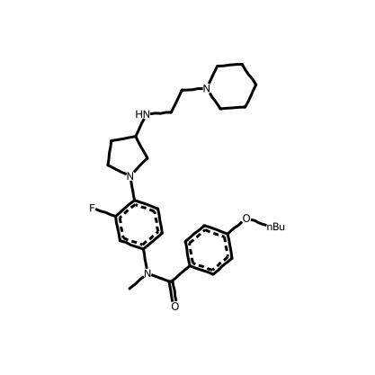 CCCCOc1ccc(C(=O)N(C)c2ccc(N3CCC(NCCN4CCCCC4)C3)c(F)c2)cc1